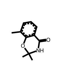 Cc1cccc2c1OC(C)(C)NC2=O